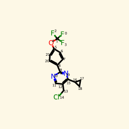 FC(F)(F)Oc1ccc(-c2ncc(CCl)c(C3CC3)n2)cc1